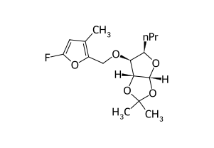 CCC[C@H]1O[C@@H]2OC(C)(C)O[C@@H]2[C@H]1OCc1oc(F)cc1C